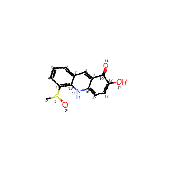 C[S+]([O-])c1cccc2cc3c(=O)c(O)ccc-3[nH]c12